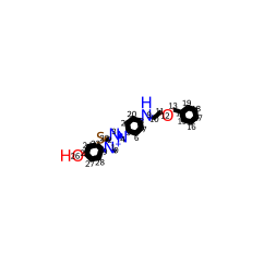 C[n+]1c(/N=N/c2ccc(NCCOCc3ccccc3)cc2)sc2cc(O)ccc21